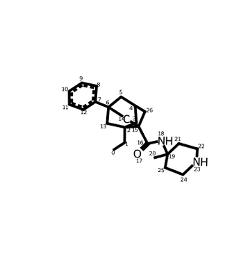 CCC12CC3CC(c4ccccc4)(C1)CC2(C(=O)NC1(C)CCNCC1)C3